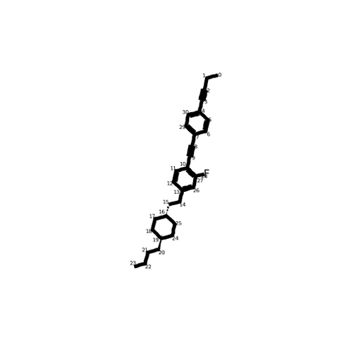 CCC#Cc1ccc(C#Cc2ccc(CC[C@H]3CC[C@H](CCCC)CC3)cc2F)cc1